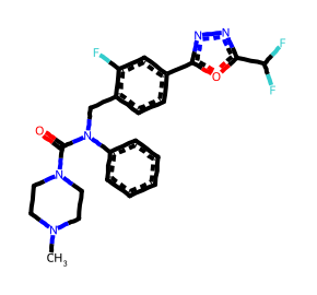 CN1CCN(C(=O)N(Cc2ccc(-c3nnc(C(F)F)o3)cc2F)c2ccccc2)CC1